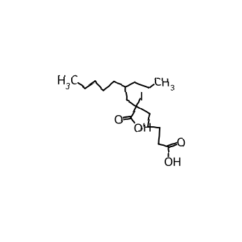 CCCCCC(CCC)CC(I)(CCCCC(=O)O)C(=O)O